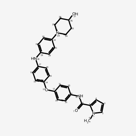 Cn1cccc1C(=O)Nc1ccc(Oc2ccc(Nc3ccc(N4CCC(O)CC4)cc3)cc2)cc1